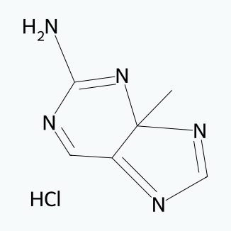 CC12N=CN=C1C=NC(N)=N2.Cl